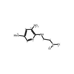 CCN(CC)CCNc1ncc(SC)cc1[N+](=O)[O-]